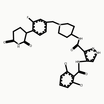 O=C1CCC(c2ccc(CN3CCC(NC(=O)c4n[nH]cc4NC(=O)c4c(Cl)cccc4Cl)CC3)cc2F)C(=O)N1